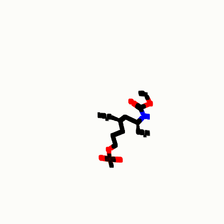 CC(C)(C)OC(=O)N[C@@H](C[C@@H](CCCOS(C)(=O)=O)C(=O)O)C(=O)O